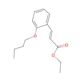 CCCCOc1ccccc1C=CC(=O)OCC